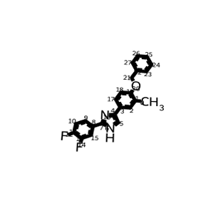 Cc1cc(-c2c[nH]c(-c3ccc(F)c(F)c3)n2)ccc1OCc1ccccc1